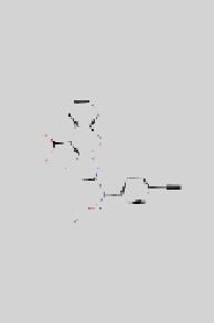 C#Cc1ccc(C(=NOC)C(C)=NOCc2ccccc2C(=COC)C(=O)OC)cc1